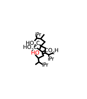 CC(C)C(C)C(C)CC(C(=O)O)C(O)(C(=O)O)C(CC(C)C(C)C(C)C)(CC(C)C(C)C(C)C)C(=O)O